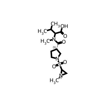 CC(C)C(C(=O)O)N(C)C(=O)[C@H]1CCN(S(=O)(=O)C2C[N@]2C)C1